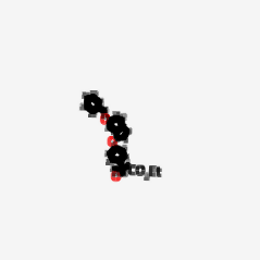 CCOC(=O)CC1(c2ccc(OC3CCc4ccc(OCc5ccccc5)cc43)cc2)COC1